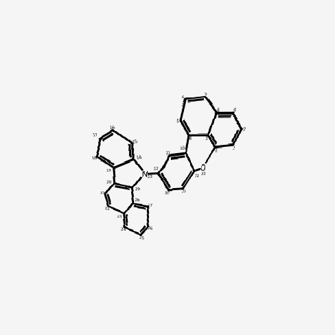 c1cc2c3c(cccc3c1)-c1cc(-n3c4ccccc4c4ccc5ccccc5c43)ccc1O2